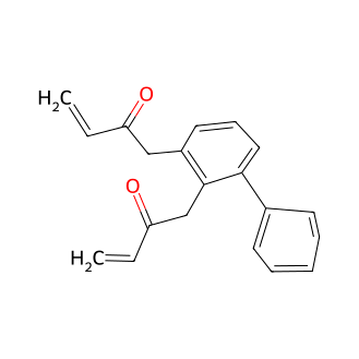 C=CC(=O)Cc1cccc(-c2ccccc2)c1CC(=O)C=C